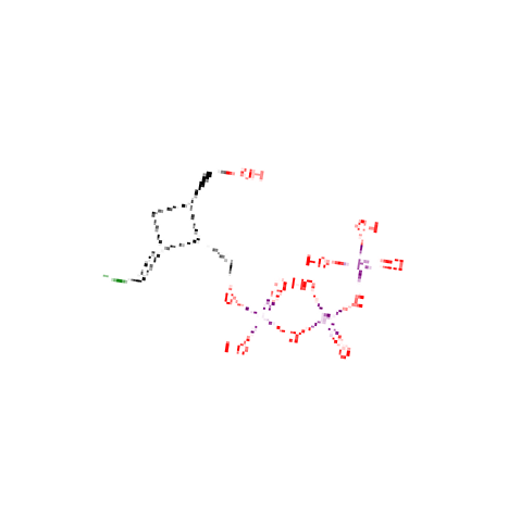 O=P(O)(O)OP(=O)(O)OP(=O)(O)OC[C@@H]1/C(=C/F)C[C@H]1CO